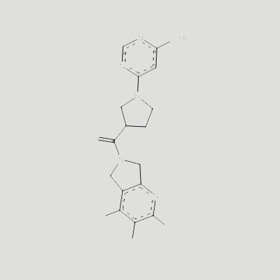 COc1cc(N2CCC(C(=O)N3Cc4nc(C)c(Cl)c(C)c4C3)C2)ncn1